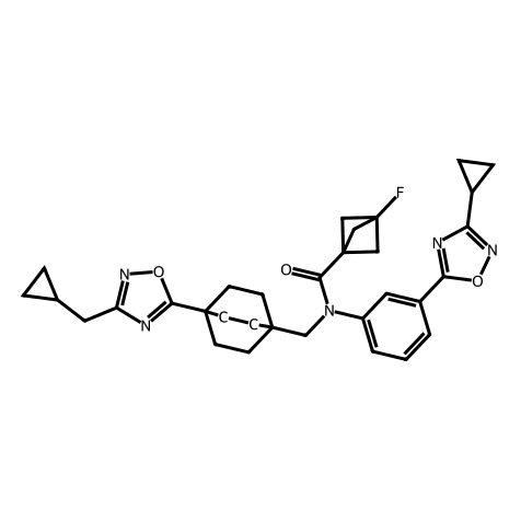 O=C(N(CC12CCC(c3nc(CC4CC4)no3)(CC1)CC2)c1cccc(-c2nc(C3CC3)no2)c1)C12CC(F)(C1)C2